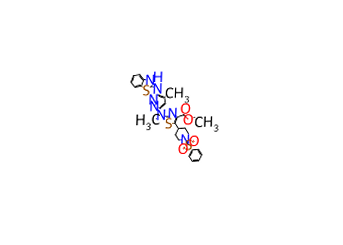 CCOC(=O)c1nc(N(C)c2cc(C)c(Nc3nc4ccccc4s3)nn2)sc1C1CCN(S(=O)(=O)c2ccccc2)CC1